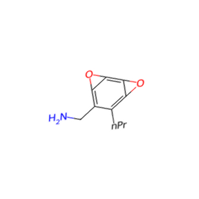 CCCc1c(CN)c2oc2c2oc12